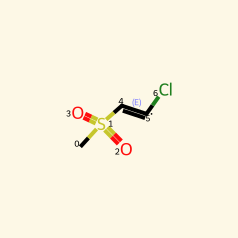 CS(=O)(=O)/C=[C]/Cl